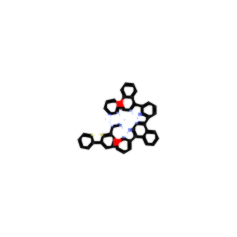 c1ccc2c(c1)ccc1c2c2cccc3c4c5ccccc5c5c6ccccc6n(-c6nc7ccccc7nc6-c6cccc7c6sc6ccccc67)c5c4n1c23